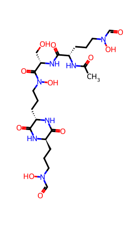 CC(=O)N[C@@H](CCCN(O)C=O)C(=O)N[C@@H](CO)C(=O)N(O)CCC[C@@H]1NC(=O)[C@@H](CCCN(O)C=O)NC1=O